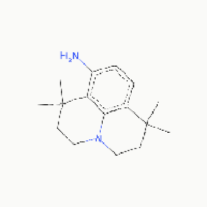 CC1(C)CCN2CCC(C)(C)c3c(N)ccc1c32